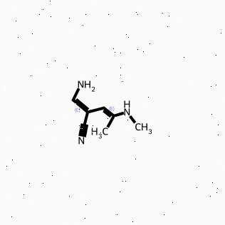 CN/C(C)=C/C(C#N)=C\N